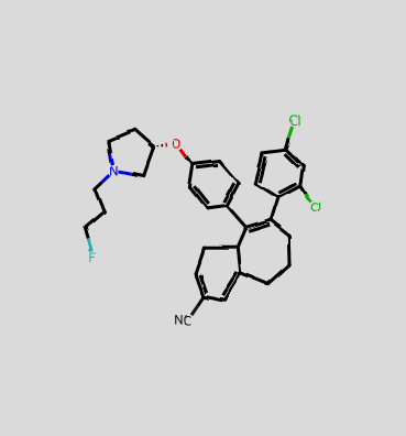 N#CC1=CCC2C(=C1)CCCC(c1ccc(Cl)cc1Cl)=C2c1ccc(O[C@H]2CCN(CCCF)C2)cc1